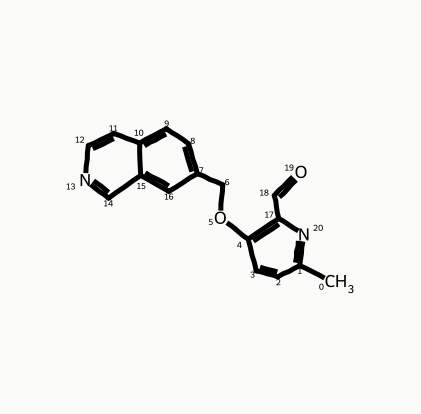 Cc1ccc(OCc2ccc3ccncc3c2)c(C=O)n1